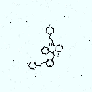 c1ccc(COc2cccc(-c3oc4nccc(NCCN5CCNCC5)c4c3-c3ccccc3)c2)cc1